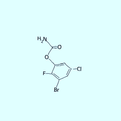 NC(=O)Oc1cc(Cl)cc(Br)c1F